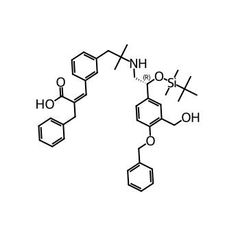 CC(C)(Cc1cccc(C=C(Cc2ccccc2)C(=O)O)c1)NC[C@H](O[Si](C)(C)C(C)(C)C)c1ccc(OCc2ccccc2)c(CO)c1